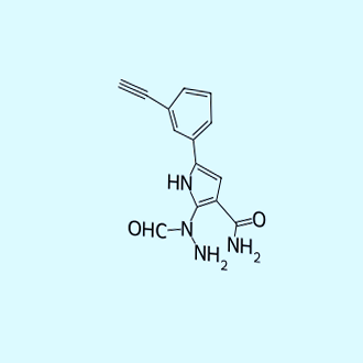 C#Cc1cccc(-c2cc(C(N)=O)c(N(N)C=O)[nH]2)c1